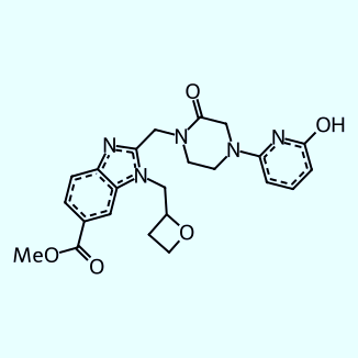 COC(=O)c1ccc2nc(CN3CCN(c4cccc(O)n4)CC3=O)n(CC3CCO3)c2c1